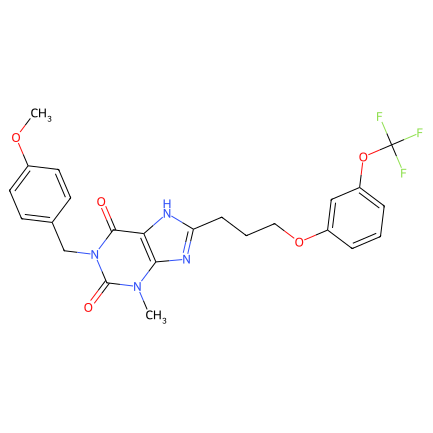 COc1ccc(Cn2c(=O)c3[nH]c(CCCOc4cccc(OC(F)(F)F)c4)nc3n(C)c2=O)cc1